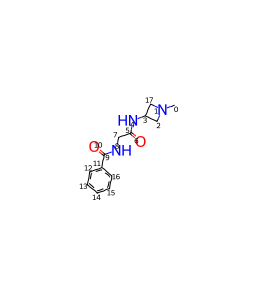 CN1CC(NC(=O)CNC(=O)c2ccccc2)C1